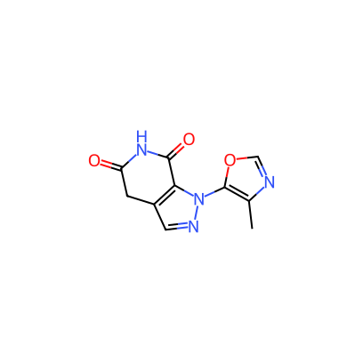 Cc1ncoc1-n1ncc2c1C(=O)NC(=O)C2